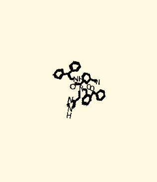 N#CC1C=C(C(C(=O)NCC(c2ccccc2)c2ccccc2)N(CCc2c[nH]cn2)C(=O)c2ccccc2C(=O)c2ccccc2)C=CC1